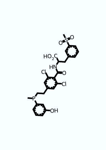 CP(CCc1cc(Cl)c(C(=O)NC(Cc2cccc(S(C)(=O)=O)c2)C(=O)O)c(Cl)c1)c1cccc(O)c1